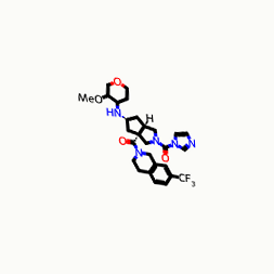 COC1COCCC1N[C@@H]1C[C@H]2CN(C(=O)n3ccnc3)C[C@@]2(C(=O)N2CCc3ccc(C(F)(F)F)cc3C2)C1